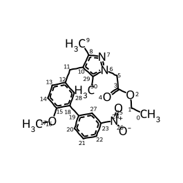 CCOC(=O)Cn1nc(C)c(Cc2ccc(OC)c(-c3cccc([N+](=O)[O-])c3)c2)c1C